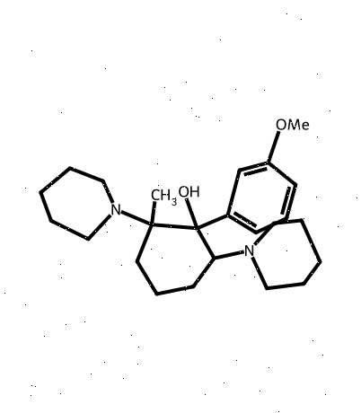 COc1cccc(C2(O)C(N3CCCCC3)CCCC2(C)N2CCCCC2)c1